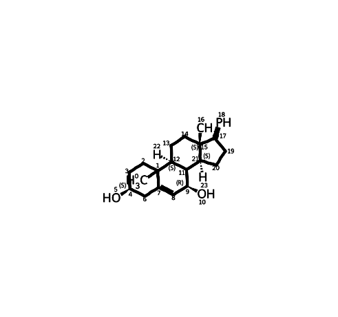 CC12CC[C@H](O)CC1=C[C@H](O)C1[C@@H]2CC[C@]2(C)C(=P)CC[C@@H]12